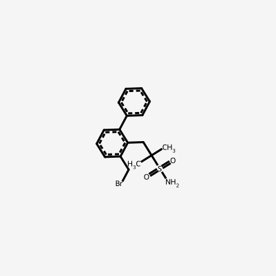 CC(C)(Cc1c(CBr)cccc1-c1ccccc1)S(N)(=O)=O